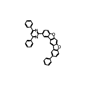 c1ccc(-c2ccc3oc4cc5oc6ccc(-c7nc(-c8ccccc8)cc(-c8ccccc8)n7)cc6c5cc4c3c2)cc1